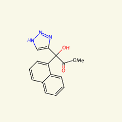 COC(=O)C(O)(c1c[nH]nn1)c1cccc2ccccc12